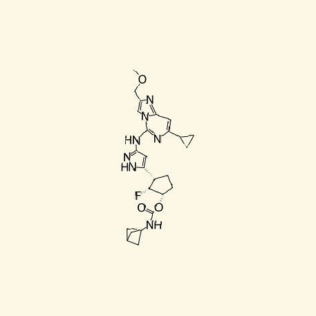 COCc1cn2c(Nc3cc([C@@H]4CC[C@H](OC(=O)NC56CC(C5)C6)[C@@H]4F)[nH]n3)nc(C3CC3)cc2n1